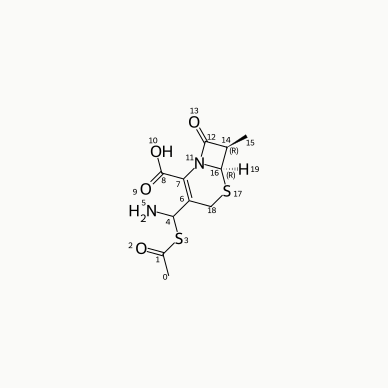 CC(=O)SC(N)C1=C(C(=O)O)N2C(=O)[C@@H](C)[C@H]2SC1